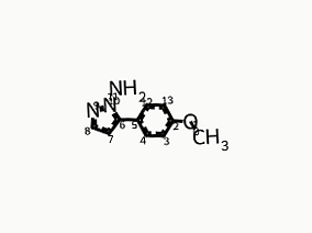 COc1ccc(-c2ccnn2N)cc1